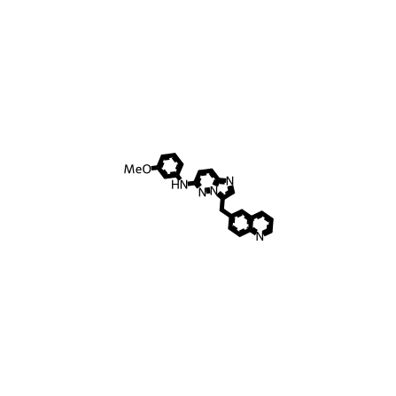 COc1cccc(Nc2ccc3ncc(Cc4ccc5ncccc5c4)n3n2)c1